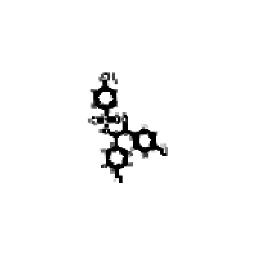 Cc1ccc(S(=O)(=O)OC(C(=O)c2ccc(Cl)cc2)c2ccc(Cl)cc2)cc1